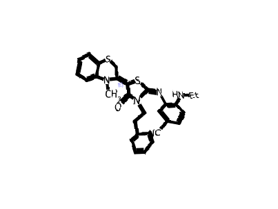 CCNc1ccc(C#N)cc1N=C1S/C(=C2\CSc3ccccc3N2C)C(=O)N1CCc1ccccc1